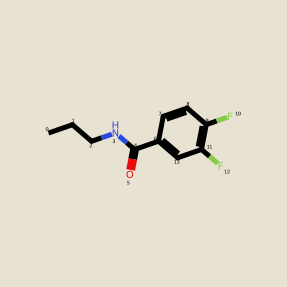 CCCNC(=O)c1ccc(F)c(F)c1